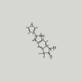 CCN1C(=O)C(C)(C)c2cc3nc(-c4ccoc4)[nH]c3cc21